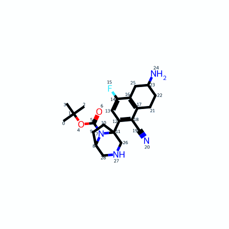 CC(C)(C)OC(=O)N1C2CCC1(c1cc(F)c3c(c1C#N)CCC(N)C3)CNC2